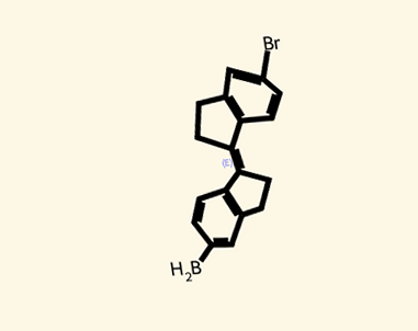 Bc1ccc2c(c1)CC/C2=C1/CCc2cc(Br)ccc21